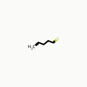 C=CCCC=S